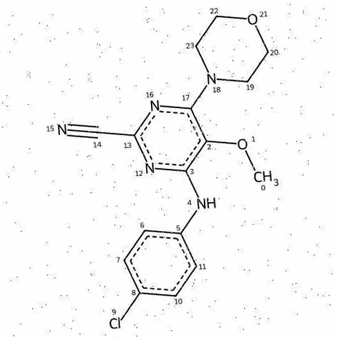 COc1c(Nc2ccc(Cl)cc2)nc(C#N)nc1N1CCOCC1